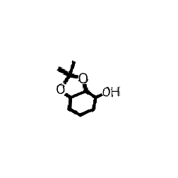 CC1(C)OC2CCCC(O)C2O1